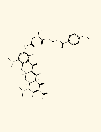 CC(C)Oc1ccc(C(=O)OCOC(=O)N(CC(=O)Nc2cc(N(C)C)c3c(c2O)C(=O)C2=C(O)[C@]4(O)C(=O)C(C(N)=O)=C(O)[C@@H](N(C)C)[C@@H]4C[C@@H]2C3)C(C)(C)C)cc1